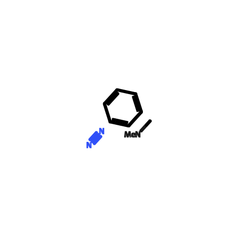 CNC.N#N.c1ccccc1